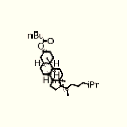 CCCCC(=O)O[C@H]1CC[C@@]2(C)[C@@H](CC[C@@H]3[C@@H]2CC[C@]2(C)[C@@H]([C@H](C)CCCC(C)C)CC[C@@H]32)C1